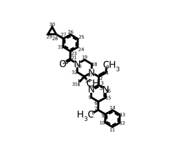 CC=C(C1=NCC(C(C)c2ccccc2)C=N1)N1CCN(C(=O)c2cccc(C3CC3)c2)CC1(C)I